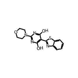 Oc1nc(N2CCOCC2)nc(O)c1-c1nc2ccccc2s1